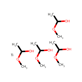 COC(C)O.COC(C)O.COC(C)O.COC(C)O.[Ti]